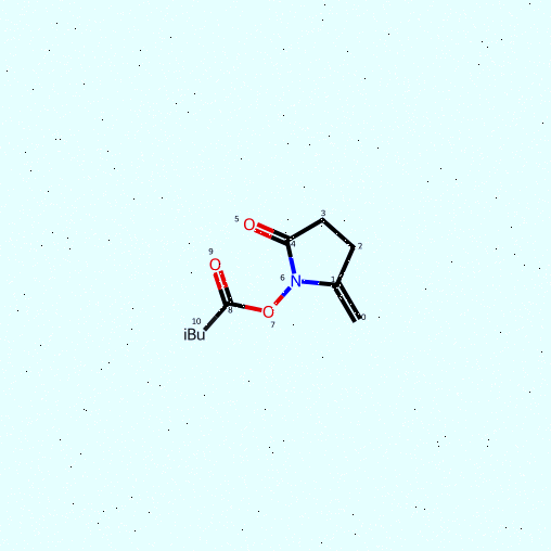 C=C1CCC(=O)N1OC(=O)C(C)CC